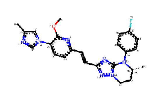 COc1nc(C=Cc2nc3n(n2)CC[C@@H](C)N3c2ccc(F)cc2)ccc1-n1cnc(C)c1